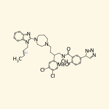 C/C=C/Cn1c(N2CCCN(CCC(CN(C)C(=O)c3cc(C4C=NN=N4)ccc3OC)c3ccc(Cl)c(Cl)c3)CC2)nc2ccccc21